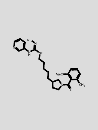 COc1cccc(C)c1C(=O)N1CCC(CCCCCN/C(=N/C#N)Nc2cccnc2)C1